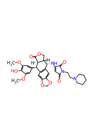 COc1cc([C@@H]2c3cc4c(cc3[C@@H](NC3=CC(=O)N(CCN5CCCCC5)C3=O)[C@H]3COC(=O)[C@H]23)OCO4)cc(OC)c1O